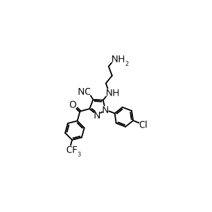 N#Cc1c(C(=O)c2ccc(C(F)(F)F)cc2)nn(-c2ccc(Cl)cc2)c1NCCCN